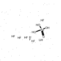 F.F.F.F.F.F.O=[As](O)(O)O.[LiH]